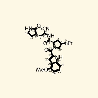 CCCC1C[C@@H](C(=O)N[C@H](C#N)C[C@@H]2CCNC2=O)N(C(=O)c2cc3c(OC)cccc3[nH]2)C1